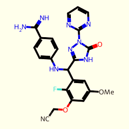 COc1cc(OCC#N)c(F)c(C(Nc2ccc(C(=N)N)cc2)c2nn(-c3ncccn3)c(=O)[nH]2)c1